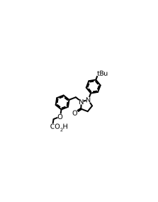 CC(C)(C)c1ccc(N2CCC(=O)N2Cc2cccc(OCC(=O)O)c2)cc1